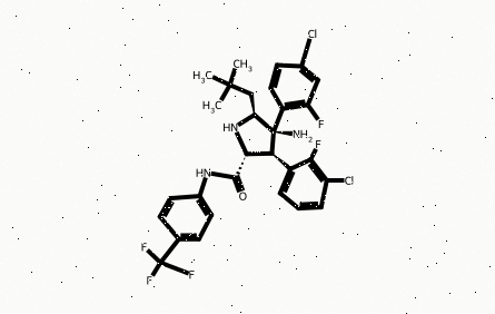 CC(C)(C)C[C@@H]1N[C@@H](C(=O)Nc2ccc(C(F)(F)F)cc2)[C@H](c2cccc(Cl)c2F)[C@@]1(N)c1ccc(Cl)cc1F